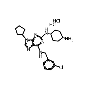 Cl.Cl.N[C@H]1CC[C@H](Nc2nc(NCc3cccc(Cl)c3)c3ncn(C4CCCC4)c3n2)CC1